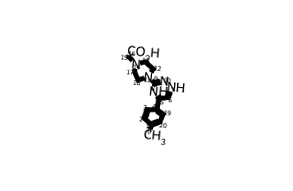 Cc1ccc(/C(C=N)=N/C(=N)N2CCN(CC(=O)O)CC2)cc1